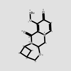 CCCCOc1c2n(ccc1=O)CC1OCC3CC(C3)N1C2=O